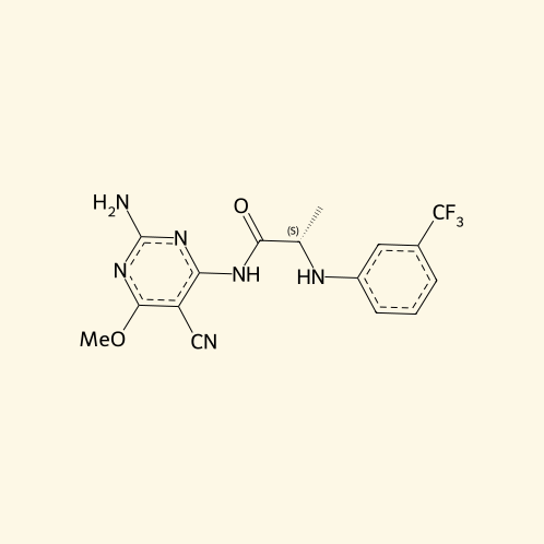 COc1nc(N)nc(NC(=O)[C@H](C)Nc2cccc(C(F)(F)F)c2)c1C#N